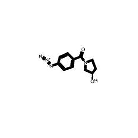 [N-]=[N+]=Nc1ccc(C(=O)N2CC[C@@H](O)C2)cc1